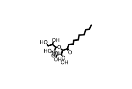 CCCCCCCCCC(=O)C(OC(C(O)CO)P(=O)(O)O)[C@H](CO)OO